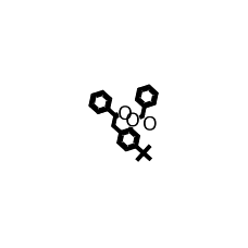 CC(C)(C)c1ccc(CC(=O)c2ccccc2)c(OC(=O)c2ccccc2)c1